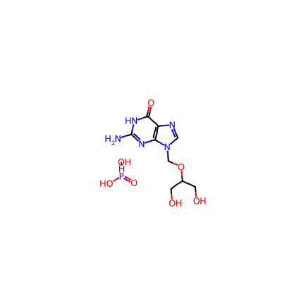 Nc1nc2c(ncn2COC(CO)CO)c(=O)[nH]1.O=[PH](O)O